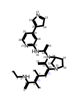 C=C(NCC)/C(C)=C(C)/C=C1\C(=C)N(C(=C)Nc2cc(C3=CN=CC3)ccn2)C2CCN1C2